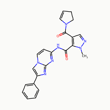 Cn1ncc(C(=O)N2C=CCC2)c1C(=O)Nc1ccn2cc(-c3ccccc3)nc2n1